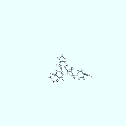 CC1C=C([C@@H](O)[C@@H](CN2CCCC2)NC(=O)NC2C=CC(C(F)(F)F)=CC2)C=C2OCCOC21